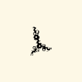 CCCC(=O)Oc1ccc(CCc2cc(OC(=O)CCC)cc(OC(=O)CCC)c2)cc1